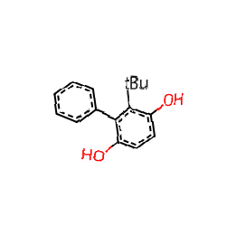 CC(C)(C)c1c(O)ccc(O)c1-c1ccccc1